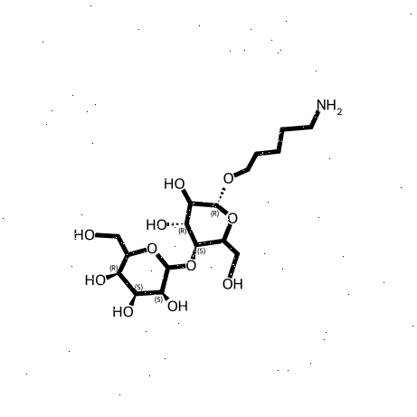 NCCCCCO[C@@H]1OC(CO)[C@@H](OC2OC(CO)[C@H](O)[C@H](O)[C@@H]2O)[C@H](O)C1O